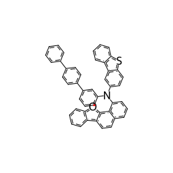 c1ccc(-c2ccc(-c3cccc(N(c4ccc5sc6ccccc6c5c4)c4cccc5ccc6c7ccccc7oc6c45)c3)cc2)cc1